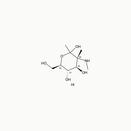 CN[C@]1(C)[C@@H](O)[C@H](O)[C@@H](CO)OC1(C)O.I